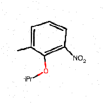 C[C](C)Oc1c(C)cccc1[N+](=O)[O-]